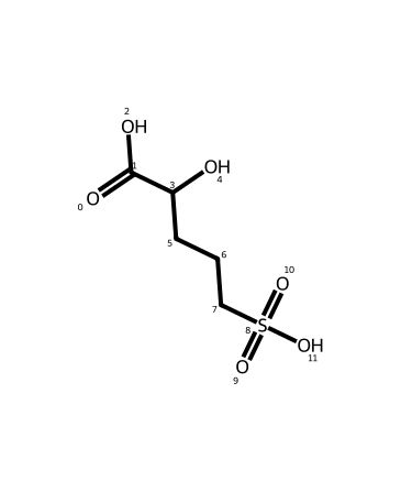 O=C(O)C(O)CCCS(=O)(=O)O